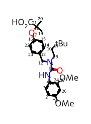 COc1ccc(NC(=O)N(CCC(C)(C)C)Cc2ccc(OC(C)(C)C(=O)O)cc2)c(OC)c1